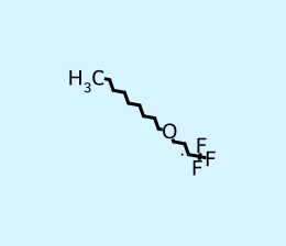 CCCCCCCCCOCC[CH]C(F)(F)F